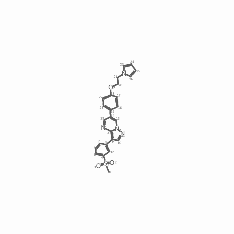 CS(=O)(=O)c1cccc(-c2cnn3cc(-c4ccc(OCCn5cccc5)cc4)cnc23)c1